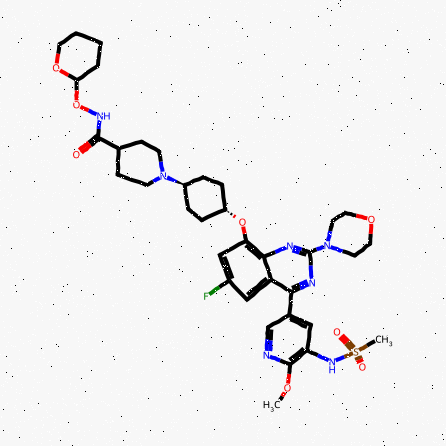 COc1ncc(-c2nc(N3CCOCC3)nc3c(O[C@H]4CC[C@H](N5CCC(C(=O)NOC6CCCCO6)CC5)CC4)cc(F)cc23)cc1NS(C)(=O)=O